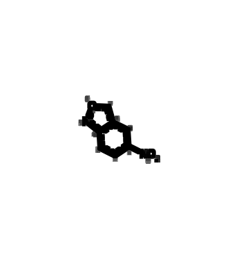 O=[N+]([O-])c1ccc2nocc2c1